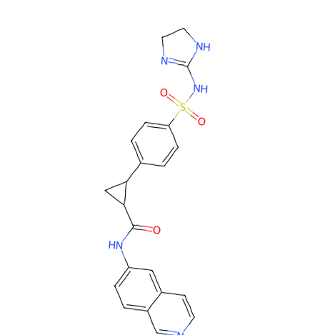 O=C(Nc1ccc2cnccc2c1)C1CC1c1ccc(S(=O)(=O)NC2=NCCN2)cc1